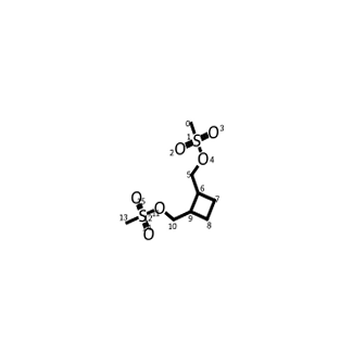 CS(=O)(=O)OCC1CCC1COS(C)(=O)=O